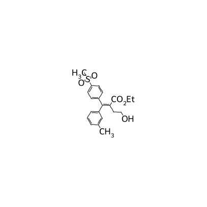 CCOC(=O)/C(CCO)=C(\c1ccc(S(C)(=O)=O)cc1)c1cccc(C)c1